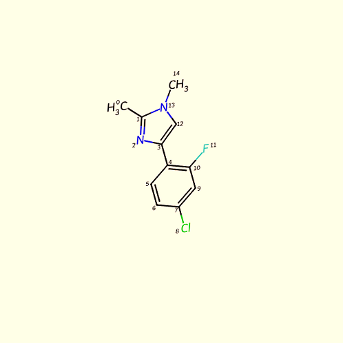 Cc1nc(-c2ccc(Cl)cc2F)cn1C